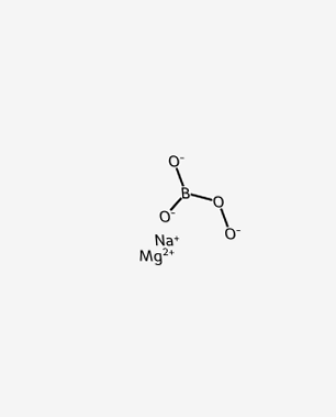 [Mg+2].[Na+].[O-]OB([O-])[O-]